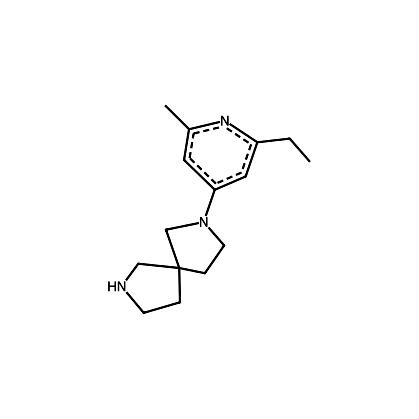 CCc1cc(N2CCC3(CCNC3)C2)cc(C)n1